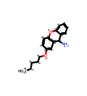 NC1c2ccccc2Oc2ccc(OCCCCC(=O)O)cc21